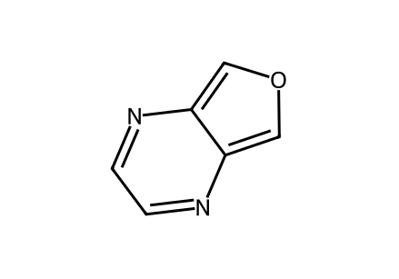 c1cnc2cocc2n1